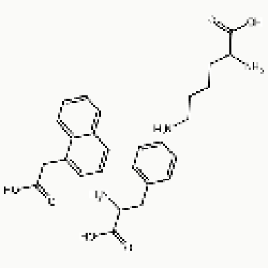 NC(Cc1ccccc1)C(=O)O.NCCCCC(N)C(=O)O.O=C(O)Cc1cccc2ccccc12